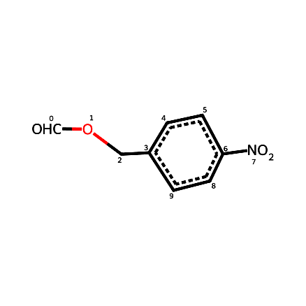 O=COCc1ccc([N+](=O)[O-])cc1